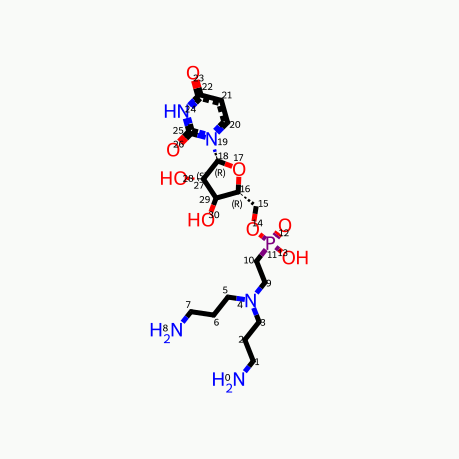 NCCCN(CCCN)CCP(=O)(O)OC[C@H]1O[C@@H](n2ccc(=O)[nH]c2=O)[C@@H](O)C1O